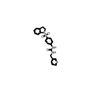 O=C(NCc1cccnc1)Nc1ccc(S(=O)(=O)N2CCc3ccccc32)cc1